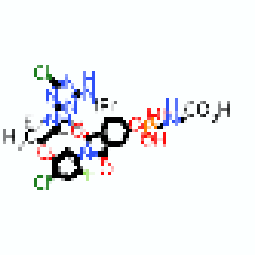 C#CC(C)Oc1cc(N2C(=O)C3=C(CCCC3)C2=O)c(F)cc1Cl.CCNc1nc(Cl)nc(NC(C)C)n1.O=C(O)CNCP(=O)(O)O